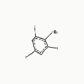 [CH2]CCCc1c(I)cc(I)cc1I